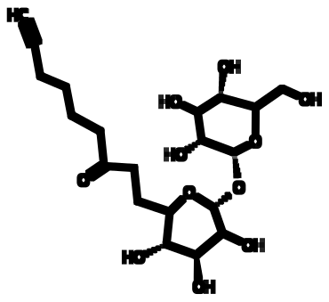 C#CCCCCC(=O)CCC1O[C@H](O[C@H]2OC(CO)[C@@H](O)C(O)[C@H]2O)C(O)[C@@H](O)[C@@H]1O